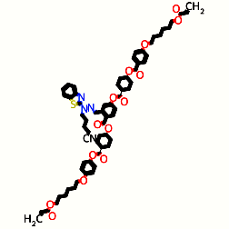 C=CC(=O)OCCCCCCOc1ccc(OC(=O)[C@H]2CC[C@@H](OC(=O)c3ccc(OC(=O)[C@H]4CC[C@@H](OC(=O)c5ccc(OCCCCCCOC(=O)C=C)cc5)CC4)cc3/C=N/N(CCCCC#N)c3nc4ccccc4s3)CC2)cc1